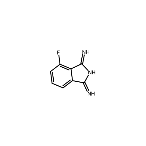 N=C1NC(=N)c2c(F)cccc21